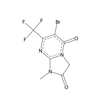 CN1C(=O)Cn2c1nc(C(F)(F)F)c(Br)c2=O